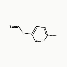 Cc1ccc(O[C]=S)cc1